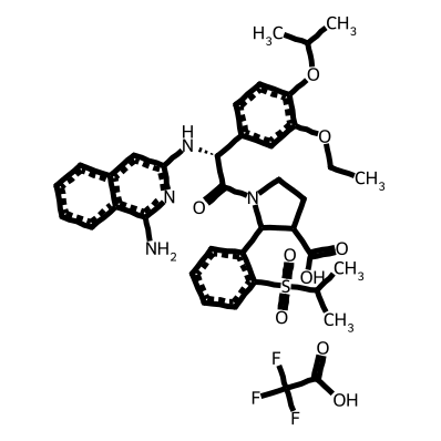 CCOc1cc([C@@H](Nc2cc3ccccc3c(N)n2)C(=O)N2CCC(C(=O)O)C2c2ccccc2S(=O)(=O)C(C)C)ccc1OC(C)C.O=C(O)C(F)(F)F